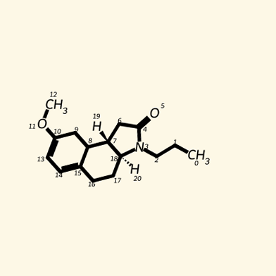 CCCN1C(=O)C[C@H]2C3CC(OC)=CC=C3CC[C@@H]21